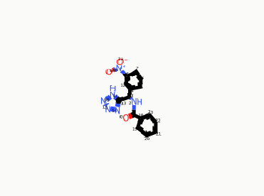 O=C(NC(c1cccc([N+](=O)[O-])c1)c1nnn[nH]1)c1ccccc1